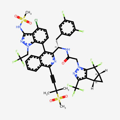 CC(C)(C#Cc1nc([C@H](Cc2cc(F)cc(F)c2)NC(=O)Cn2nc(C(F)(F)F)c3c2C(F)(F)[C@@H]2C[C@H]32)c(-c2ccc(Cl)c3c(NS(C)(=O)=O)nn(CC(F)(F)F)c23)c2ccccc12)S(C)(=O)=O